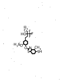 CCC(O)(CCc1ccc(Oc2nc3c(C)c(S)ccc3s2)c(OC)c1)C(F)(F)F